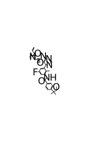 C=CC(=O)N(C)CCOc1c(N)ncnc1-c1cc(F)cc(NC(=O)c2ccc3c(c2)OCC3(C)C)c1C